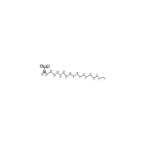 CCCCCCCCCCCCCCCCCCN(C)C(=O)Cl